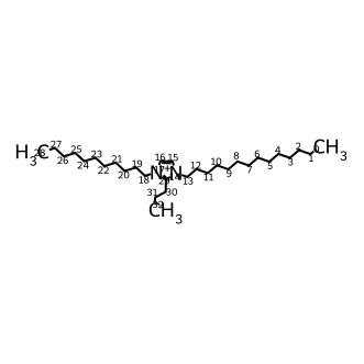 CCCCCCCCCCCCCCn1cc[n+](CCCCCCCCCCC)c1CCC